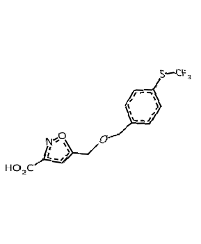 O=C(O)c1cc(COCc2ccc(SC(F)(F)F)cc2)on1